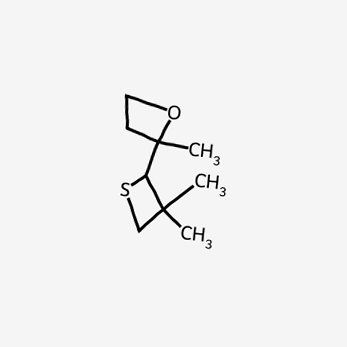 CC1(C)CSC1C1(C)CCO1